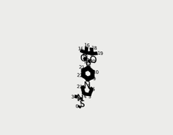 CSN(C)C1CCN(c2ccc(B3OC(C)(C)C(C)(C)O3)cc2)C1